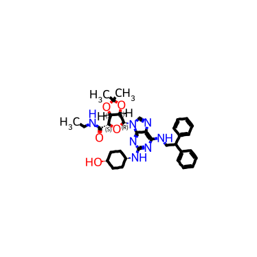 CCNC(=O)[C@H]1O[C@@H](n2cnc3c(NCC(c4ccccc4)c4ccccc4)nc(N[C@H]4CC[C@@H](O)CC4)nc32)[C@@H]2OC(C)(C)O[C@@H]21